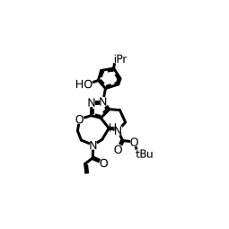 C=CC(=O)N1CCOc2nn(-c3ccc(C(C)C)cc3O)c3c2[C@H](C1)N(C(=O)OC(C)(C)C)CC3